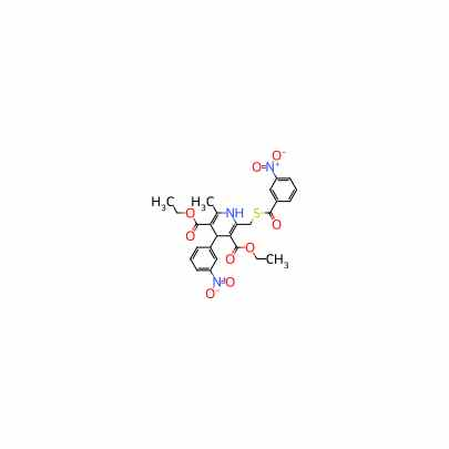 CCOC(=O)C1=C(C)NC(CSC(=O)c2cccc([N+](=O)[O-])c2)=C(C(=O)OCC)C1c1cccc([N+](=O)[O-])c1